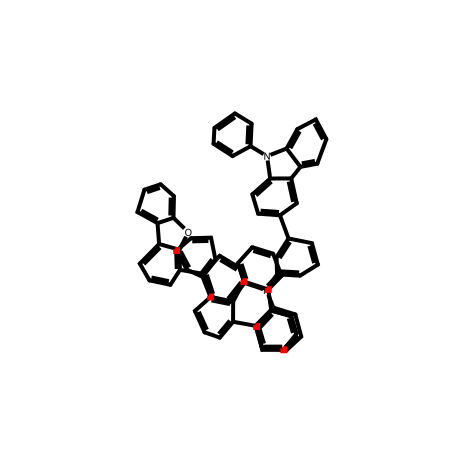 c1ccc(-c2ccccc2-c2c(-c3ccccc3)cccc2-c2ccccc2N(c2ccc(-c3cccc4c3oc3ccccc34)cc2)c2cccc(-c3ccc4c(c3)c3ccccc3n4-c3ccccc3)c2)cc1